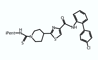 CCCC(C)NC(=S)N1CCC(c2nc(C(=O)Nc3ccccc3-c3ccc(Cl)cc3)cs2)CC1